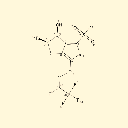 C[C@H](COc1sc(S(C)(=O)=O)c2c1C[C@@H](F)[C@H]2O)C(F)(F)F